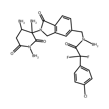 BC1CC(=O)N(B)C(=O)C1(B)N1Cc2cc(CN(B)C(=O)C(F)(F)c3ccc(Cl)cc3)ccc2C1=O